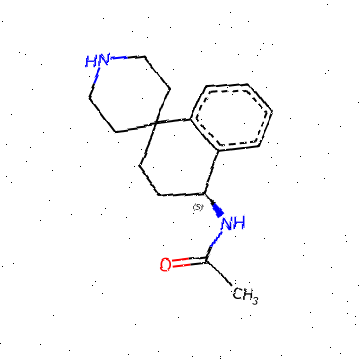 CC(=O)N[C@H]1CCC2(CCNCC2)c2ccccc21